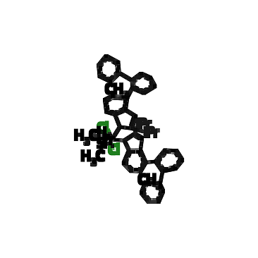 Cc1ccc2c(c1-c1ccccc1-c1ccccc1)C=C(C(C)C)[CH]2[Zr]([Cl])([Cl])([CH]1C(C(C)C)=Cc2c1ccc(C)c2-c1ccccc1-c1ccccc1)[SiH](C)C